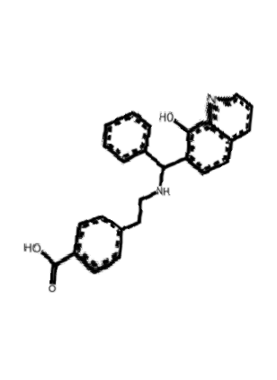 O=C(O)c1ccc(CCNC(c2ccccc2)c2ccc3cccnc3c2O)cc1